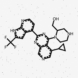 OCC1CNCCN1c1nc(-c2ccnc3[nH]c(C(F)(F)F)cc23)nc2cncc(C3CC3)c12